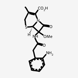 COC1(NC(=O)Cc2ccccc2N)C(=O)N2C(C(=O)O)=C(C)CS[C@@H]21